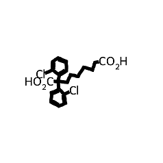 O=C(O)CCCCCCC(C(=O)O)(c1ccccc1Cl)c1ccccc1Cl